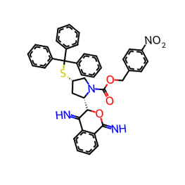 N=C1OC([C@@H]2C[C@H](SC(c3ccccc3)(c3ccccc3)c3ccccc3)CN2C(=O)OCc2ccc([N+](=O)[O-])cc2)C(=N)c2ccccc21